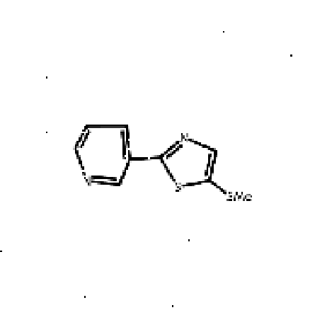 CSc1cnc(-c2cccnc2)s1